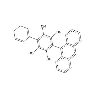 Oc1c(O)c(-c2c3ccccc3cc3ccccc23)c(O)c(O)c1C1=CCCC=C1